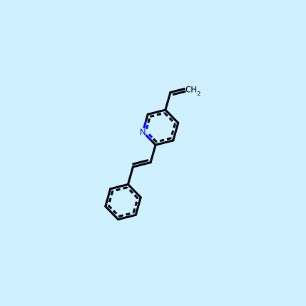 C=Cc1ccc(C=Cc2ccccc2)nc1